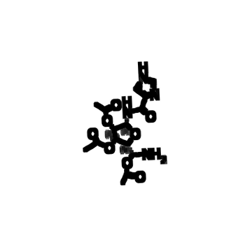 CC(=O)OC(N)[C@H]1O[C@@H](NC(=O)c2c[nH]cn2)[C@H](OC(C)=O)[C@@H]1OC(C)=O